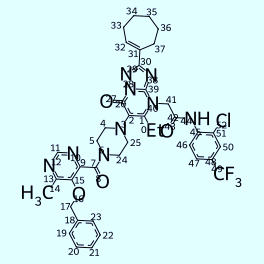 CCc1c(N2CCN(C(=O)c3ncnc(C)c3OCc3ccccc3)CC2)c(=O)n2nc(C3=CCCCCC3)nc2n1CC(=O)Nc1ccc(C(F)(F)F)cc1Cl